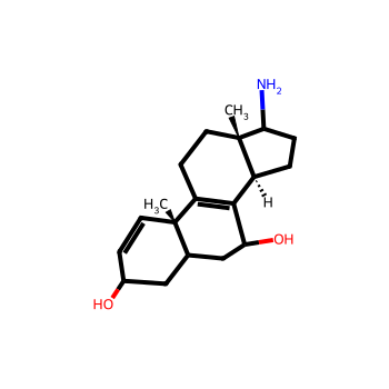 C[C@]12C=CC(O)CC1CC(O)C1=C2CC[C@]2(C)C(N)CC[C@@H]12